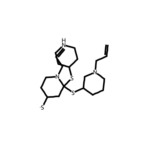 C=CCN1CCCC(SC2(SC3CCNCC3)CC([S])CCN2CC=C)C1